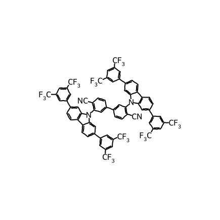 N#Cc1ccc(-c2ccc(C#N)c(-n3c4cc(-c5cc(C(F)(F)F)cc(C(F)(F)F)c5)ccc4c4ccc(-c5cc(C(F)(F)F)cc(C(F)(F)F)c5)cc43)c2)cc1-n1c2cc(-c3cc(C(F)(F)F)cc(C(F)(F)F)c3)ccc2c2ccc(-c3cc(C(F)(F)F)cc(C(F)(F)F)c3)cc21